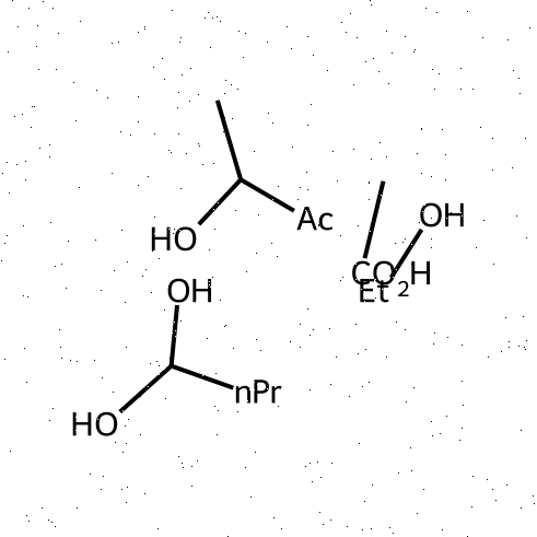 CC(=O)C(C)O.CC(=O)O.CCCC(O)O.CCO